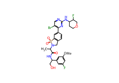 COc1cc(F)cc(C(CO)NC(=O)C(C)N2Cc3ccc(-c4nc(NC5CCOCC5F)ncc4Br)cc3S2(=O)=O)c1